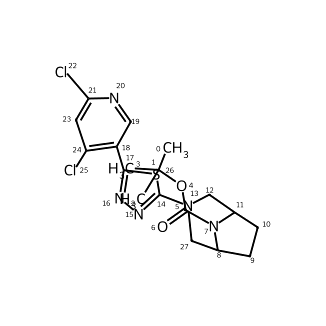 CC(C)(C)OC(=O)N1C2CCC1CN(c1nnc(-c3cnc(Cl)cc3Cl)s1)C2